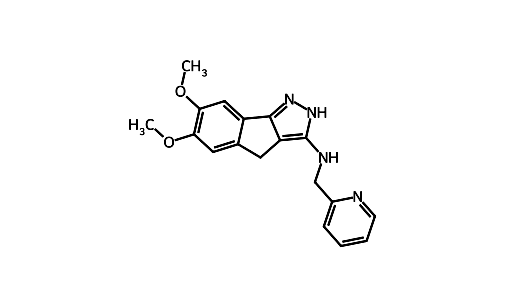 COc1cc2c(cc1OC)-c1n[nH]c(NCc3ccccn3)c1C2